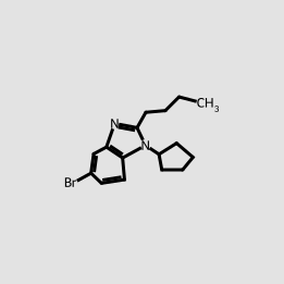 CCCCc1nc2cc(Br)ccc2n1C1CCCC1